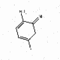 CC1=CC=C([N+](=O)[O-])C(=N)C1